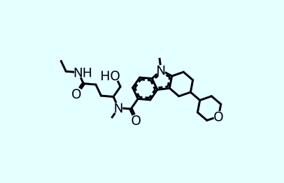 CCNC(=O)CCC(CO)N(C)C(=O)c1ccc2c(c1)c1c(n2C)CCC(C2CCOCC2)C1